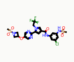 CS(=O)(=O)Nc1cc(Cl)cc(NC(=O)c2cc(-c3ncc(OC4CN(S(C)(=O)=O)C4)cn3)n(CC(F)(F)F)c2)c1